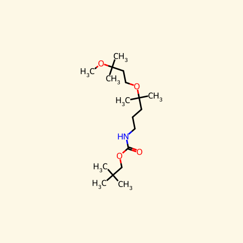 COC(C)(C)CCOC(C)(C)CCCNC(=O)OCC(C)(C)C